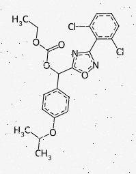 CCOC(=O)OC(c1ccc(OC(C)C)cc1)c1nc(-c2c(Cl)cccc2Cl)no1